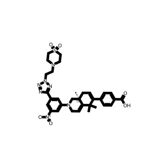 CC1(C)C(c2ccc(C(=O)O)cc2)=CC[C@]2(C)CN(c3cc(-c4nnn(CCN5CCS(=O)(=O)CC5)n4)cc([N+](=O)[O-])c3)CC=C12